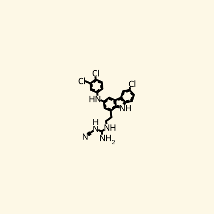 N#CNC(N)NCCc1cc(Nc2ccc(Cl)c(Cl)c2)cc2c1[nH]c1ccc(Cl)cc12